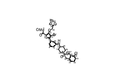 COC(=O)c1sc(-c2cccc(NC3CCN(S(=O)(=O)Cc4cccc(Cl)c4Cl)CC3)c2)c(Br)c1OCC(=O)OC(C)(C)C